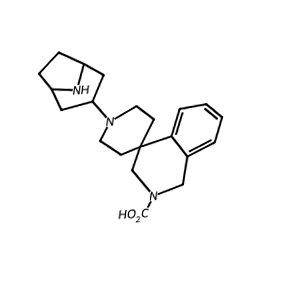 O=C(O)N1Cc2ccccc2C2(CCN(C3CC4CCC(C3)N4)CC2)C1